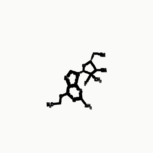 CCOc1nc(N)nc2c1ncn2[C@@H]1O[C@H](CO)C(O)[C@]1(C)F